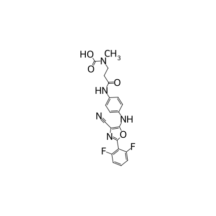 CN(CCC(=O)Nc1ccc(Nc2oc(-c3c(F)cccc3F)nc2C#N)cc1)C(=O)O